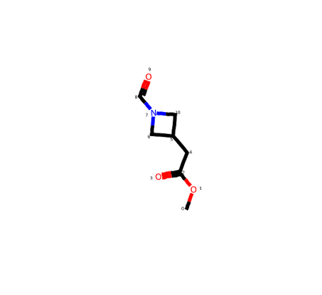 COC(=O)CC1CN(C=O)C1